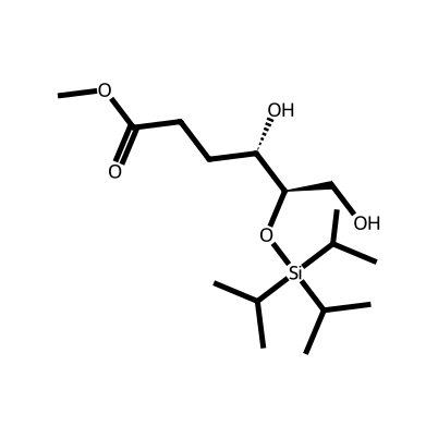 COC(=O)CC[C@H](O)[C@@H](CO)O[Si](C(C)C)(C(C)C)C(C)C